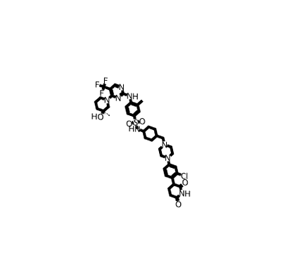 Cc1cc(S(=O)(=O)NC2CCC(CN3CCN(c4ccc(C5CCC(=O)NC5=O)c(Cl)c4)CC3)CC2)ccc1Nc1ncc(C(F)(F)F)c(N2CCC[C@](C)(O)C2)n1